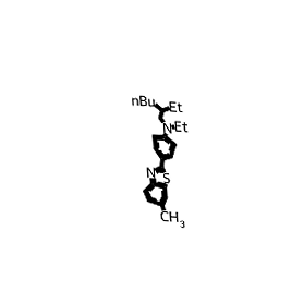 CCCCC(CC)CN(CC)c1ccc(-c2nc3ccc(C)cc3s2)cc1